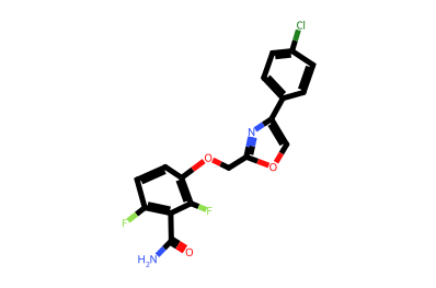 NC(=O)c1c(F)ccc(OCc2nc(-c3ccc(Cl)cc3)co2)c1F